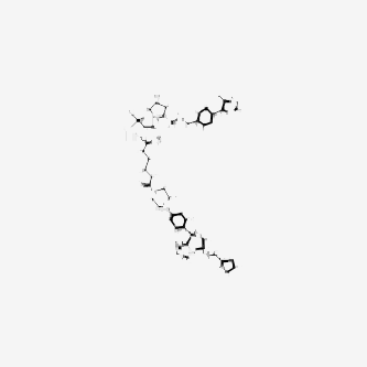 Cc1ncsc1-c1ccc(CNC(=O)[C@@H]2C[C@@H](O)CN2C(=O)[C@@H](NC(=O)CCCCC(=O)N2CCN(c3ccc(-c4ncc(NCc5ccco5)n5cnnc45)cc3)CC2)C(C)(C)C)cc1